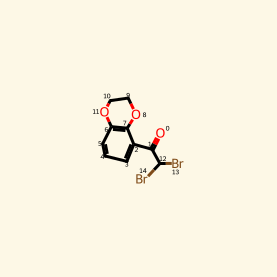 O=C(c1cccc2c1OCCO2)C(Br)Br